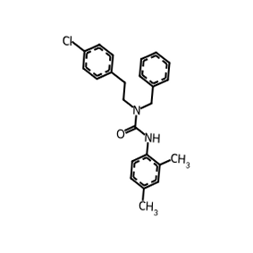 Cc1ccc(NC(=O)N(CCc2ccc(Cl)cc2)Cc2ccccc2)c(C)c1